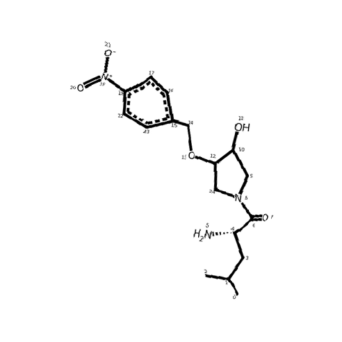 CC(C)C[C@H](N)C(=O)N1CC(O)C(OCc2ccc([N+](=O)[O-])cc2)C1